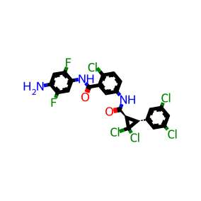 Nc1cc(F)c(NC(=O)c2cc(NC(=O)[C@H]3[C@H](c4cc(Cl)cc(Cl)c4)C3(Cl)Cl)ccc2Cl)cc1F